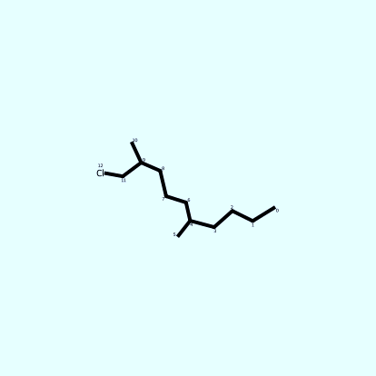 CCCCC(C)CCCC(C)CCl